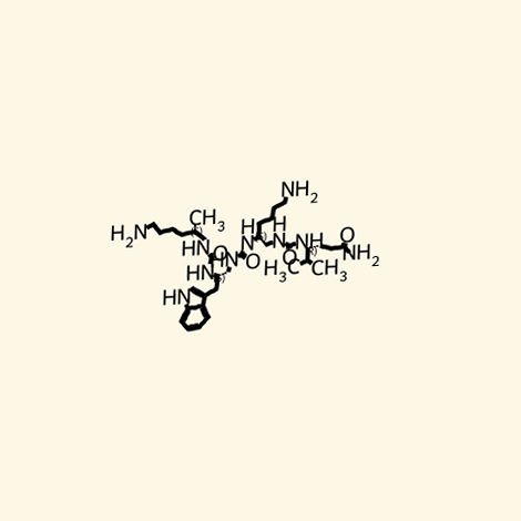 CC(C)[C@@H](CCC(N)=O)NC(=O)NC[C@H](CCCCN)NC(=O)NC[C@H](Cc1c[nH]c2ccccc12)NC(=O)NC[C@@H](C)CCCCN